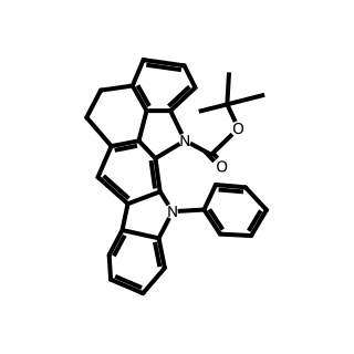 CC(C)(C)OC(=O)n1c2cccc3c2c2c(cc4c5ccccc5n(-c5ccccc5)c4c21)CC3